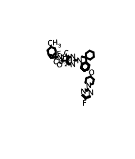 CC1CC2CC(C1)C(NC(=O)c1cnc(N3CC4(CCCCC4)c4cc(OC5CCN(c6ncc(F)cn6)CC5)ccc43)nc1C(F)(F)F)(C(=O)O)C2